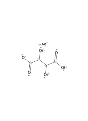 O=C([O-])C(O)C(O)C(=O)O.[Ag+]